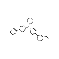 CCc1cccc(-c2ccc(N(c3ccccc3)c3ccc(-c4ccccc4)cc3)cc2)c1